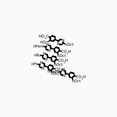 CCCCCCCCc1cc(-c2cnc(CCC)cn2)ccc1C(=O)O.CCCCCCCCc1cc(-c2cnc(CCCC)cn2)ccc1C(=O)O.CCCCCCCCc1cc(-c2cnc(CCCCC)cn2)ccc1C(=O)O.CCCCCCCCc1cc(-c2cnc(CCCCCCC)cn2)ccc1C(=O)O.CCCCCCCCc1cnc(-c2ccc(C(=O)O)c(CCCCCCCC)c2)cn1